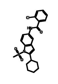 CS(=O)(=O)n1c(C2CCCCC2)cc2cc(NC(=O)c3ccccc3Cl)ccc21